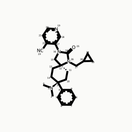 CN(C)[C@]1(c2ccccc2)CC[C@]2(CC1)CN(c1cnccc1C#N)C(=O)N2CC1CC1